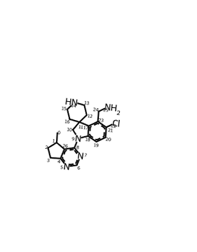 CC1CCc2ncnc(N3CC4(CCNCC4)c4c3ccc(Cl)c4CN)c21